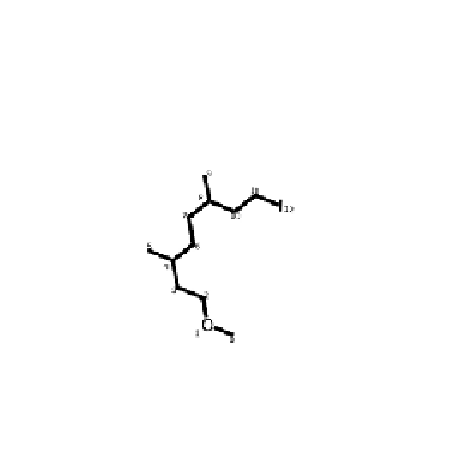 COCCC(C)CCC(C)CCI